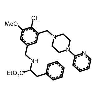 CCOC(=O)[C@H](Cc1ccccc1)NCc1cc(CN2CCN(c3ccccn3)CC2)c(O)c(OC)c1